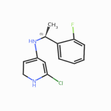 C[C@H](NC1=CCNC(Cl)=C1)c1ccccc1F